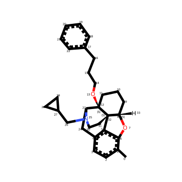 Cc1ccc2c3c1O[C@H]1CCC[C@@]4(OCCCc5ccccc5)C(C2)N(CC2CC2)CC[C@]314